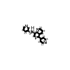 c1cncc(SNc2cpc(-c3ccncc3)c3cccnc23)c1